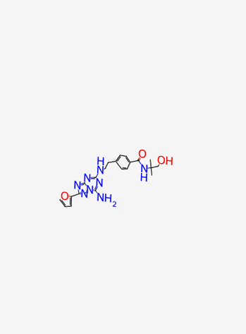 CC(C)(CO)NC(=O)c1ccc(CCNc2nc(N)n3nc(-c4ccco4)nc3n2)cc1